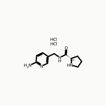 Cl.Cl.Nc1ccc(CNC(=O)[C@@H]2CCCN2)cn1